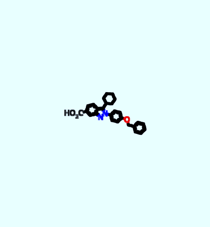 O=C(O)c1ccc2c(C3CCCCC3)n(-c3ccc(OCc4ccccc4)cc3)nc2c1